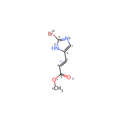 COC(=O)/C=C/c1cnc(Br)[nH]1